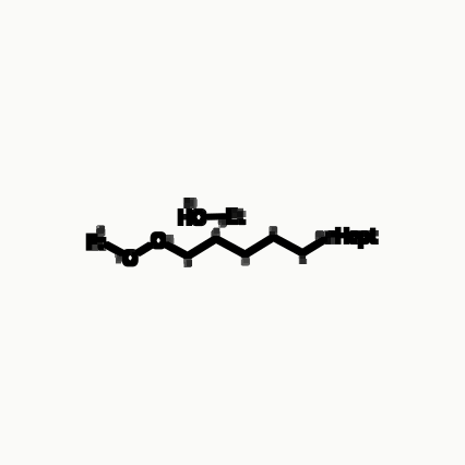 CCCCCCCCCCCCOOCC.CCO